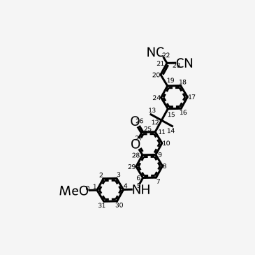 COc1ccc(Nc2ccc3cc(C(C)(C)c4cccc(C=C(C#N)C#N)c4)c(=O)oc3c2)cc1